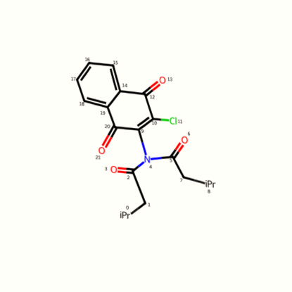 CC(C)CC(=O)N(C(=O)CC(C)C)C1=C(Cl)C(=O)c2ccccc2C1=O